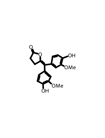 COc1cc(C(=C2CCC(=O)O2)c2ccc(O)c(OC)c2)ccc1O